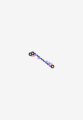 OC1=CCCC=C1CNCCCNCCCCNCCCNCc1ccc2ccccc2c1O